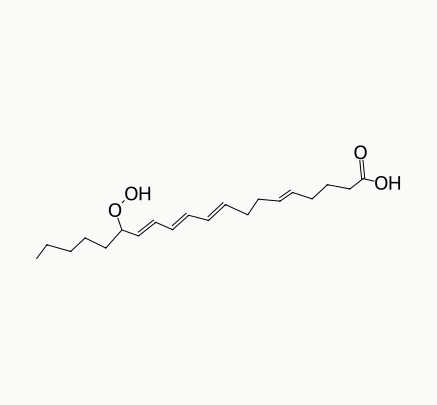 CCCCCC(C=CC=CC=CCCC=CCCCC(=O)O)OO